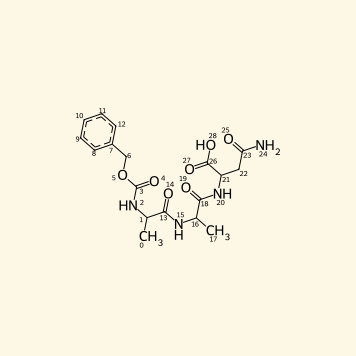 CC(NC(=O)OCc1ccccc1)C(=O)NC(C)C(=O)NC(CC(N)=O)C(=O)O